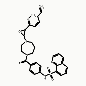 C=CC/C=C\C(=N/C)C1OC1N1CCCN(C(=O)c2ccc(NS(=O)(=O)c3cccc4cccnc34)cc2)CC1